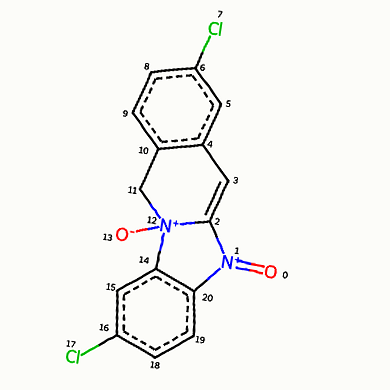 O=[N+]1C2=Cc3cc(Cl)ccc3C[N+]2([O-])c2cc(Cl)ccc21